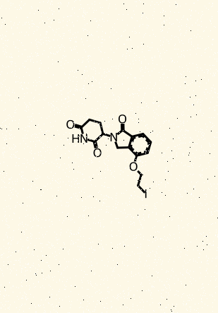 O=C1CCC(N2Cc3c(OCCI)cccc3C2=O)C(=O)N1